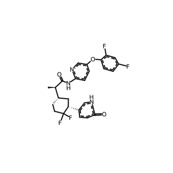 C[C@@H](C(=O)Nc1ccc(Oc2ccc(F)cc2F)cn1)[C@H]1CCC(F)(F)[C@@H](c2ccc(=O)[nH]c2)C1